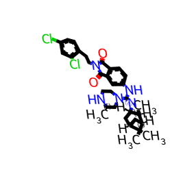 C[C@@H]1[C@@H](/N=C(/Nc2ccc3c(c2)C(=O)N(CCc2ccc(Cl)cc2Cl)C3=O)N2CCN[C@@H](C)C2)C[C@H]2C[C@@H]1C2(C)C